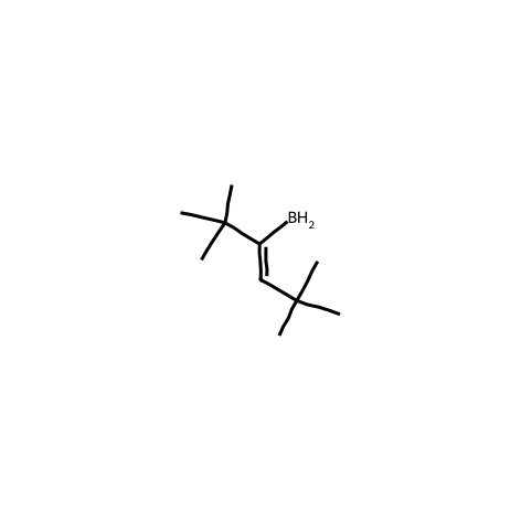 B/C(=C\C(C)(C)C)C(C)(C)C